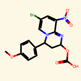 COc1ccc(C2CC(OC(=O)O)N=C3C([N+](=O)[O-])=CC(Br)=CN32)cc1